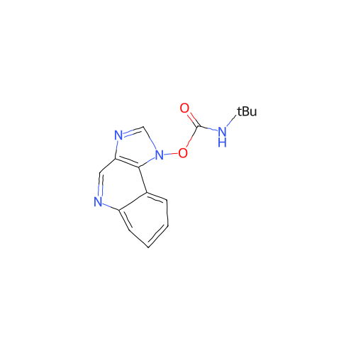 CC(C)(C)NC(=O)On1cnc2cnc3ccccc3c21